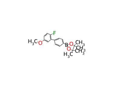 COc1ccc(F)c(-c2ccc(B3OC(C)(C)C(C)(C)O3)cc2)c1